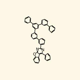 c1ccc(-c2cccc(-c3cc(-c4ccccc4)cc(-c4cccc(-c5cccc(-c6nc(-c7ccccc7)c7c(n6)oc6ccccc67)c5)c4)c3)c2)cc1